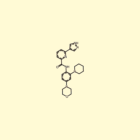 O=C(Nc1ccc(N2CCOCC2)cc1N1CCCCC1)c1cccc(-c2cn[nH]c2)n1